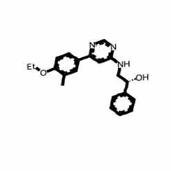 CCOc1ccc(-c2cc(NC[C@H](O)c3ccccc3)ncn2)cc1C